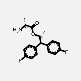 C[C@@H](N)C(=O)O[C@H](C)C(c1ccc(F)cc1)c1ccc(F)cc1